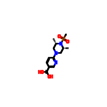 C[C@@H]1CN(c2ccc(B(O)O)cn2)C[C@H](C)N1S(C)(=O)=O